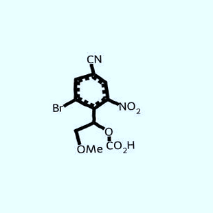 COCC(OC(=O)O)c1c(Br)cc(C#N)cc1[N+](=O)[O-]